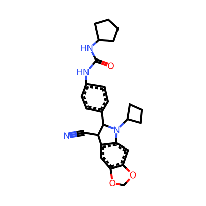 N#CC1c2cc3c(cc2N(C2CCC2)C1c1ccc(NC(=O)NC2CCCC2)cc1)OCO3